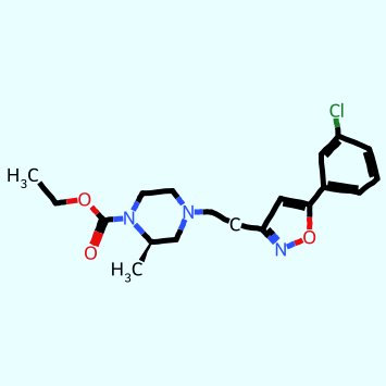 CCOC(=O)N1CCN(CCc2cc(-c3cccc(Cl)c3)on2)C[C@H]1C